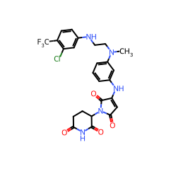 CN(CCNc1ccc(C(F)(F)F)c(Cl)c1)c1cccc(NC2=CC(=O)N(C3CCC(=O)NC3=O)C2=O)c1